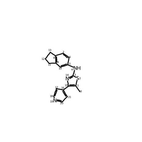 Cc1sc(Nc2ccc3c(c2)CCC3)nc1-c1ccncc1